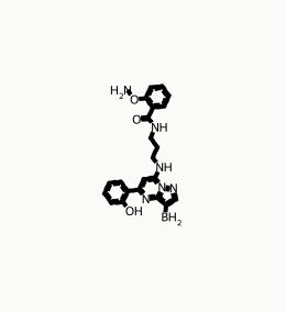 Bc1cnn2c(NCCCNC(=O)c3ccccc3ON)cc(-c3ccccc3O)nc12